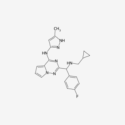 Cc1cc(Nc2nc(C(NCC3CC3)c3ccc(F)cc3)nn3cccc23)n[nH]1